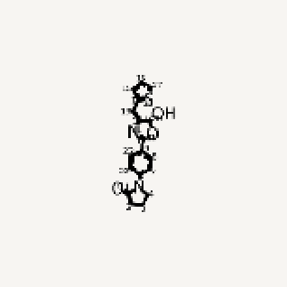 O=C1CCCN1c1ccc(C2=N/C(=C/c3cccs3)C(O)O2)cc1